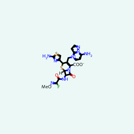 CON=C(F)C(=O)NC1C(=O)N2C(C(=O)[O-])=C(C[n+]3ccc(N)n4nccc43)C(c3csc(N)n3)S[C@@H]12